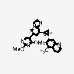 COc1ncc(-c2cc([C@H]3C[C@@H]3c3cc(C(F)(F)F)c4cccnc4c3)c3nccn3n2)c(OC)n1